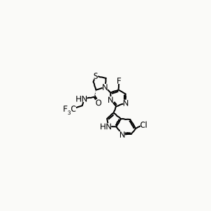 O=C(NCC(F)(F)F)[C@@H]1CSCN1c1nc(-c2c[nH]c3ncc(Cl)cc23)ncc1F